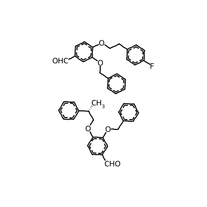 C[C@H](COc1ccc(C=O)cc1OCc1ccccc1)c1ccccc1.O=Cc1ccc(OCCc2ccc(F)cc2)c(OCc2ccccc2)c1